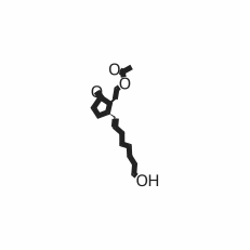 CC(=O)OCC[C@@H]1C(=O)CC[C@H]1C=CCCCCCCO